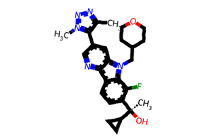 Cc1nnn(C)c1-c1cnc2c3ccc([C@@](C)(O)C4CC4)c(F)c3n(CC3CCOCC3)c2c1